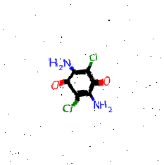 NC1=C(Cl)C(=O)C(N)=C(Cl)C1=O